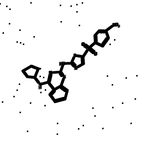 O=[N+]([O-])c1ccc(S(=O)(=O)c2cnc(Nc3nc(NC4CCCC4)c4ccccc4n3)s2)cc1